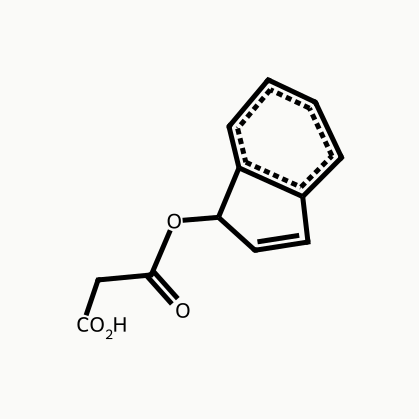 O=C(O)CC(=O)OC1C=Cc2ccccc21